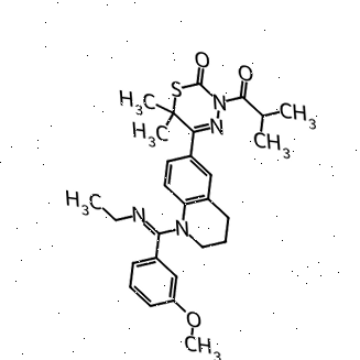 CCN=C(c1cccc(OC)c1)N1CCCc2cc(C3=NN(C(=O)C(C)C)C(=O)SC3(C)C)ccc21